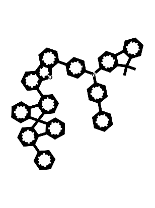 CC1(C)c2ccccc2-c2ccc(N(c3ccc(-c4ccccc4)cc3)c3ccc(-c4cccc5c4oc4c(-c6cccc7c6-c6ccccc6C76c7ccccc7-c7c(-c8ccccc8)cccc76)cccc45)cc3)cc21